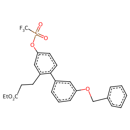 CCOC(=O)CCc1cc(OS(=O)(=O)C(F)(F)F)ccc1-c1cccc(OCc2ccccc2)c1